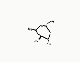 CC(C)(C)C1C[C@@H](O)O[C@H](O)[C@H]1O